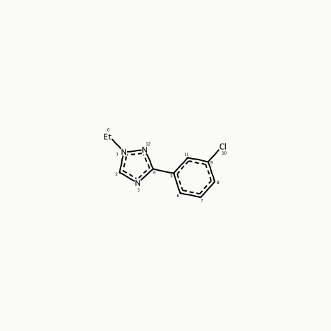 CCn1cnc(-c2cccc(Cl)c2)n1